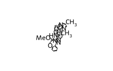 CCCO[C@@H](c1ncc(C)cn1)[C@H](C)S(=O)(=O)Nc1nnc2n1[C@H](COC)COc1ccccc1-2